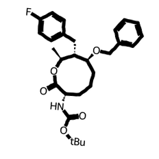 C[C@@H]1OC(=O)[C@@H](NC(=O)OC(C)(C)C)CCC[C@H](OCc2ccccc2)[C@H]1Cc1ccc(F)cc1